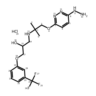 CC(C)(COc1ccc(NN)nn1)NCC(O)COc1cccc(C(F)(F)F)c1.Cl